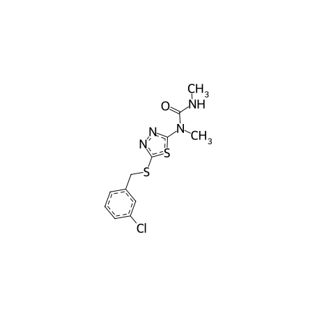 CNC(=O)N(C)c1nnc(SCc2cccc(Cl)c2)s1